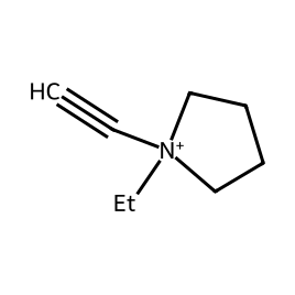 C#C[N+]1(CC)CCCC1